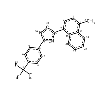 Cc1ccc(-c2nc(-c3ccc(C(F)(F)F)cc3)no2)c2ccccc12